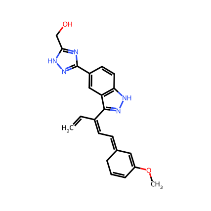 C=C/C(=C/C=C1/C=C(OC)C=CC1)c1n[nH]c2ccc(-c3n[nH]c(CO)n3)cc12